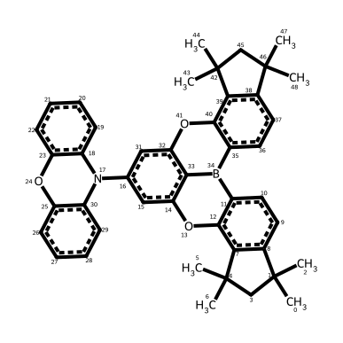 CC1(C)CC(C)(C)c2c1ccc1c2Oc2cc(N3c4ccccc4Oc4ccccc43)cc3c2B1c1ccc2c(c1O3)C(C)(C)CC2(C)C